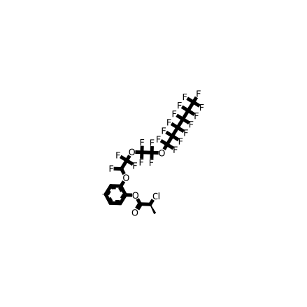 C[C@H](Cl)C(=O)Oc1cc[c]cc1OC(F)C(F)(F)OC(F)(F)C(F)(F)OC(F)(F)C(F)(F)C(F)(F)C(F)(F)C(F)(F)C(F)(F)F